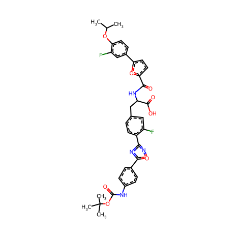 CC(C)Oc1ccc(-c2ccc(C(=O)NC(Cc3ccc(-c4noc(-c5ccc(NC(=O)OC(C)(C)C)cc5)n4)c(F)c3)C(=O)O)o2)cc1F